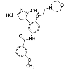 COc1cccc(C(=O)Nc2ccc(OCCN3CCOCC3)c(C3CC=NN3C)c2)c1.Cl